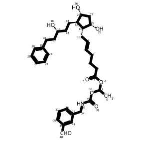 CC(OC(=O)CCCC=CC[C@@H]1[C@@H](CC[C@@H](O)CCc2ccccc2)[C@H](O)C[C@@H]1O)OC(=O)NCc1cccc(C=O)c1